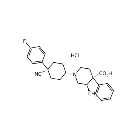 C[C@H]1CN([C@H]2CC[C@](C#N)(c3ccc(F)cc3)CC2)CC[C@@]1(C(=O)O)c1ccccc1.Cl